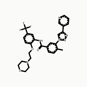 Cc1ccc(C(=O)Nc2cc(C(F)(F)F)ccc2OCCN2CCOCC2)cc1-n1cc(-c2cccnc2)nn1